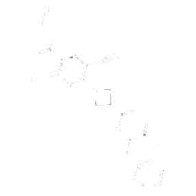 CCOC(=O)c1cc(C#N)c(N2CC(C(=O)NC(Cc3ccccc3)C(=O)O)C2)nc1C